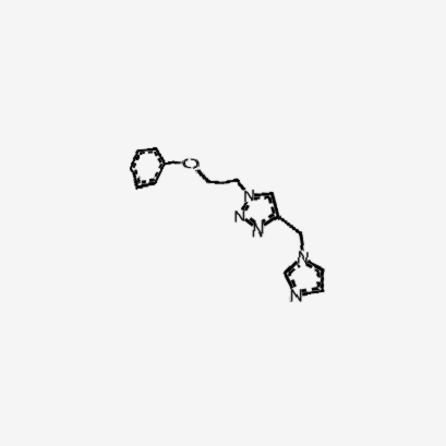 c1ccc(OCCn2cc(Cn3ccnc3)nn2)cc1